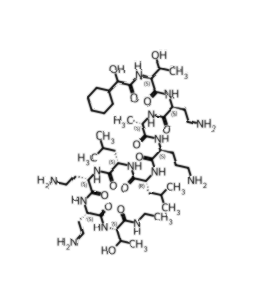 CCNC(=O)[C@@H](NC(=O)[C@H](CCN)NC(=O)[C@H](CCN)NC(=O)[C@H](CC(C)C)NC(=O)[C@@H](CC(C)C)NC(=O)[C@H](CCCN)NC(=O)[C@H](C)NC(=O)[C@H](CCN)NC(=O)[C@@H](NC(=O)C(O)C1CCCCC1)C(C)O)C(C)O